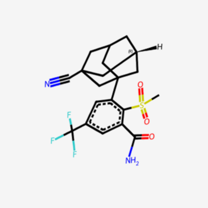 CS(=O)(=O)c1c(C(N)=O)cc(C(F)(F)F)cc1C12CC3C[C@@H](CC(C#N)(C3)C1)C2